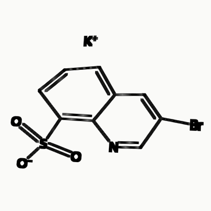 O=S(=O)([O-])c1cccc2cc(Br)cnc12.[K+]